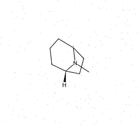 CN1[C]2CCC[C@H]1CC2